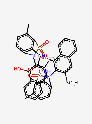 Cc1ccc2c(NC(=O)Nc3c4ccc(C)c3S(=O)(=O)N4c3c(S(=O)(=O)O)cc4ccccc4c3O)c1S(=O)(=O)N2c1c(S(=O)(=O)O)cc2ccccc2c1O